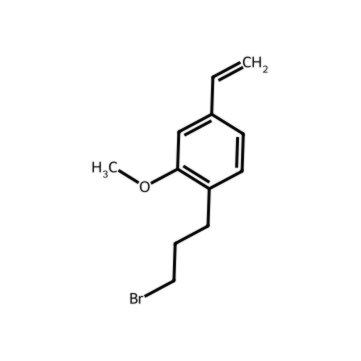 C=Cc1ccc(CCCBr)c(OC)c1